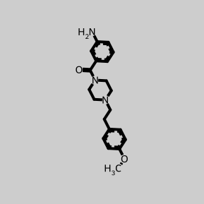 COc1ccc(CCN2CCN(C(=O)c3cccc(N)c3)CC2)cc1